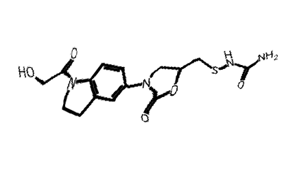 NC(=O)NSCC1CN(c2ccc3c(c2)CCN3C(=O)CO)C(=O)O1